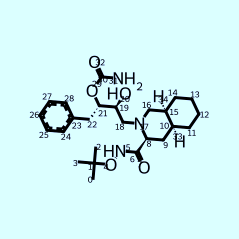 CC(C)(C)ONC(=O)[C@@H]1C[C@@H]2CCCC[C@@H]2CN1C[C@H](O)[C@H](Cc1ccccc1)OC(N)=O